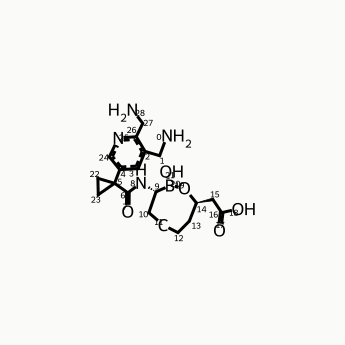 NCc1cc(C2(C(=O)N[C@H]3CCCC[C@H](CC(=O)O)OB3O)CC2)cnc1CN